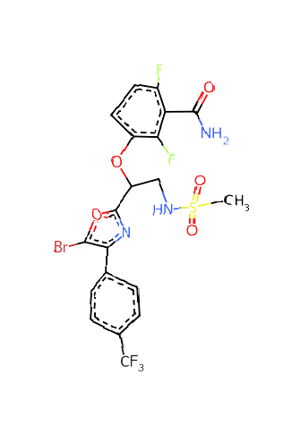 CS(=O)(=O)NCC(Oc1ccc(F)c(C(N)=O)c1F)c1nc(-c2ccc(C(F)(F)F)cc2)c(Br)o1